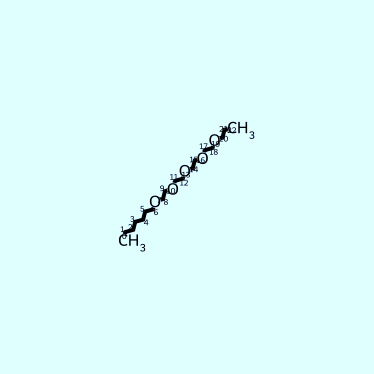 CCCCCCCOCCOCCOCCOCCOCCC